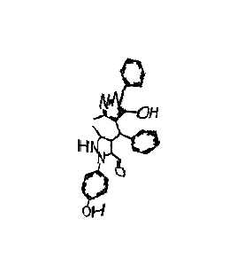 Cc1nn(-c2ccccc2)c(O)c1C(c1ccccc1)C1C(C)NN(c2ccc(O)cc2)C1C=O